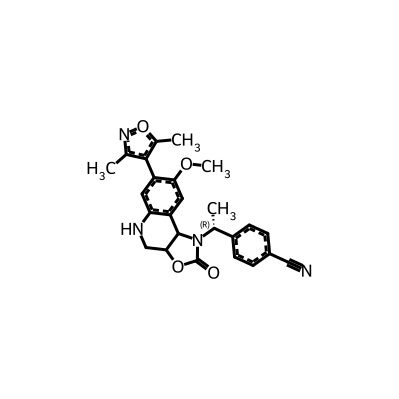 COc1cc2c(cc1-c1c(C)noc1C)NCC1OC(=O)N([C@H](C)c3ccc(C#N)cc3)C21